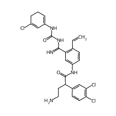 C=Cc1ccc(NC(=O)C(CCN)c2ccc(Cl)c(Cl)c2)cc1C(=N)NC(=O)NC1=CCCC(Cl)=C1